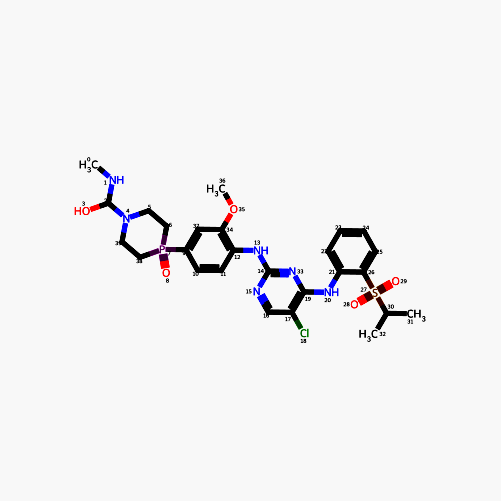 CNC(O)N1CCP(=O)(c2ccc(Nc3ncc(Cl)c(Nc4ccccc4S(=O)(=O)C(C)C)n3)c(OC)c2)CC1